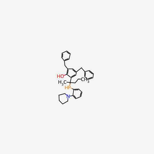 CCCC(C)(Pc1ccccc1N1CCCCC1)c1cc(Cc2ccccc2)cc(Cc2ccccc2)c1O